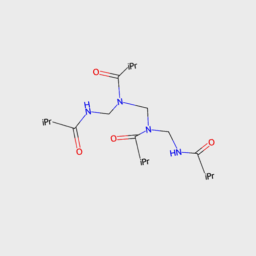 CC(C)C(=O)NCN(CN(CNC(=O)C(C)C)C(=O)C(C)C)C(=O)C(C)C